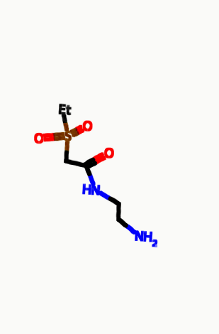 CCS(=O)(=O)CC(=O)NCCN